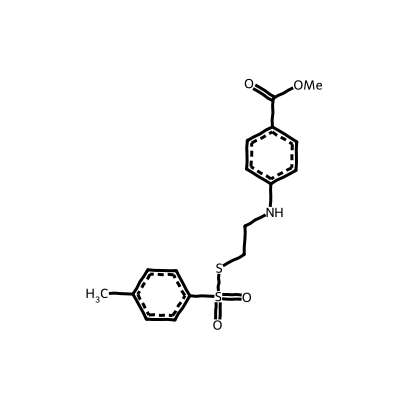 COC(=O)c1ccc(NCCSS(=O)(=O)c2ccc(C)cc2)cc1